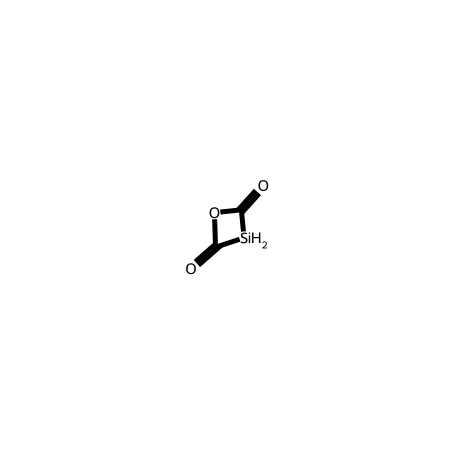 O=C1OC(=O)[SiH2]1